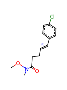 CON(C)C(=O)CC/C=C/c1ccc(Cl)cc1